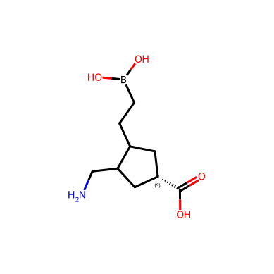 NCC1C[C@@H](C(=O)O)CC1CCB(O)O